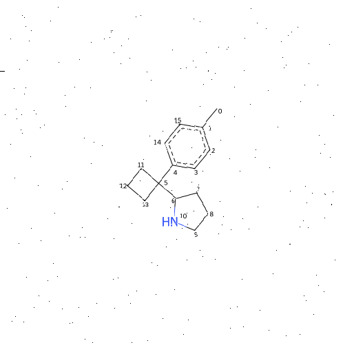 Cc1ccc(C2(C3CCCN3)CCC2)cc1